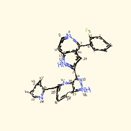 Fc1ccccc1-c1nccc2[nH]c(-c3n[nH]c4ccc(-c5ccccn5)nc34)cc12